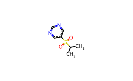 CC(C)S(=O)(=O)c1cncnc1